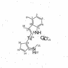 Cc1cccc2[nH][c]([Ti+2][C]3=C([SiH](C)C)C=CC3)c(C)c12.[Cl-].[Cl-]